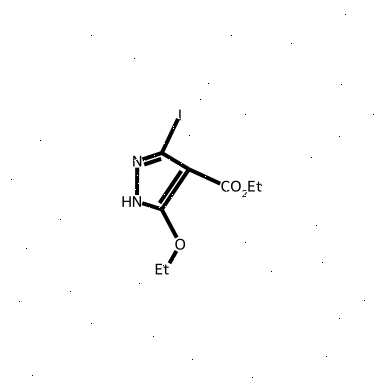 CCOC(=O)c1c(I)n[nH]c1OCC